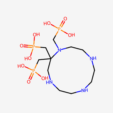 O=P(O)(O)CN1CCNCCNCCNCC1(CP(=O)(O)O)CP(=O)(O)O